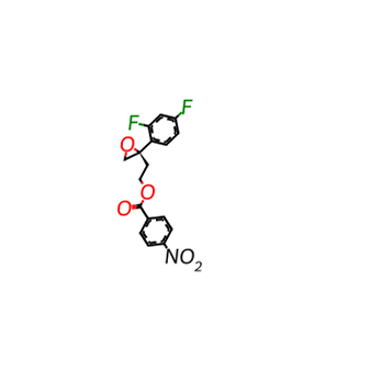 O=C(OCC[C@@]1(c2ccc(F)cc2F)CO1)c1ccc([N+](=O)[O-])cc1